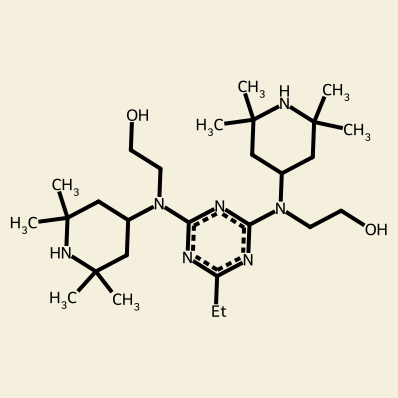 CCc1nc(N(CCO)C2CC(C)(C)NC(C)(C)C2)nc(N(CCO)C2CC(C)(C)NC(C)(C)C2)n1